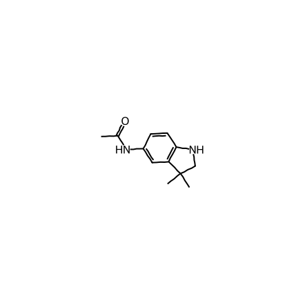 CC(=O)Nc1ccc2c(c1)C(C)(C)CN2